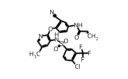 C=CC(=O)Nc1ccc(Oc2ncc(C)cc2NS(=O)(=O)c2ccc(Cl)c(C(F)(F)F)c2)c(C#N)c1